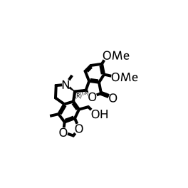 COc1ccc2c(c1OC)C(=O)O[C@@H]2[C@H]1c2c(c(C)c3c(c2CO)OCO3)CCN1C